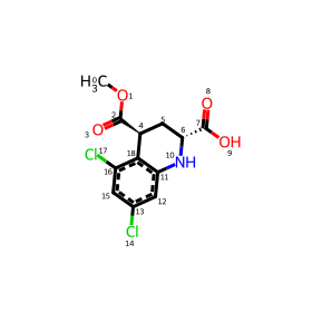 COC(=O)[C@H]1C[C@H](C(=O)O)Nc2cc(Cl)cc(Cl)c21